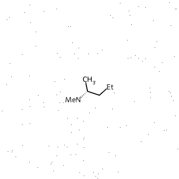 CCC[C@@H](C)NC